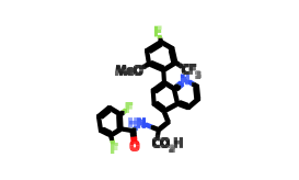 COc1cc(F)cc(C(F)(F)F)c1-c1ccc(CC(NC(=O)c2c(F)cccc2F)C(=O)O)c2cccnc12